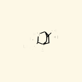 CCOC(=O)[C@H]1NC2CC[C@@H]1C[C@@H]2O